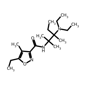 CCc1onc(C(=O)NC(C)(C)C(C)(CC)N(CC)CC)c1C